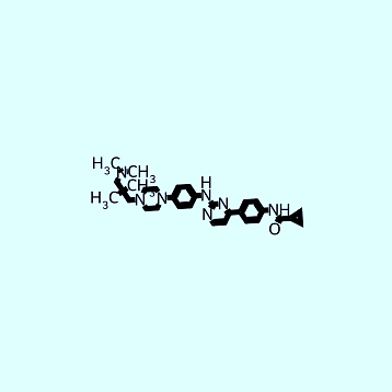 CN(C)CC(C)(C)CN1CCN(c2ccc(Nc3nccc(-c4ccc(NC(=O)C5CC5)cc4)n3)cc2)CC1